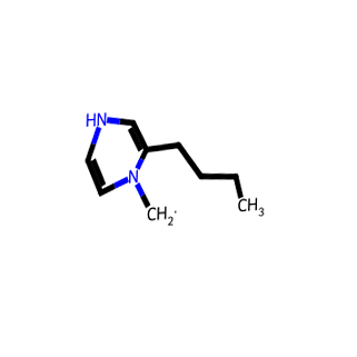 [CH2]N1C=CNC=C1CCCC